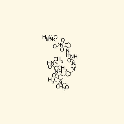 CCN(c1cc(-c2ccc(CN3CCN(CC(=O)NCCNc4cccc5c4C(=O)N(C(C=O)CCC(=O)NC)C5=O)CC3)cc2)cc(C(=O)NCc2c(C)cc(C)[nH]c2=O)c1C)C1CCOCC1